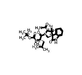 [2H]C1([2H])[C@@H](C(N)=O)N(C(=O)[C@H](CC(C)C)N(C)C(=O)OC(C)(C)C)C[C@@]12C(=O)Nc1ccccc12